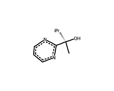 CC(C)[C@@](C)(O)c1ncccn1